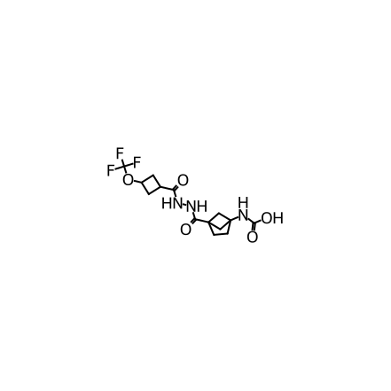 O=C(O)NC12CCC(C(=O)NNC(=O)C3CC(OC(F)(F)F)C3)(C1)C2